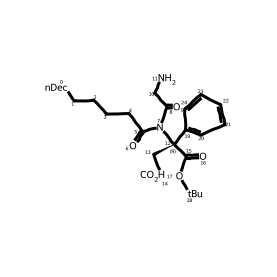 CCCCCCCCCCCCCCC(=O)N(C(=O)CN)[C@@](CC(=O)O)(C(=O)OC(C)(C)C)c1ccccc1